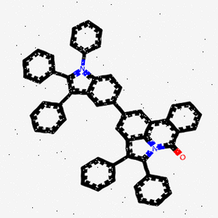 O=c1c2ccccc2c2cc(-c3ccc4c(c3)c(-c3ccccc3)c(-c3ccccc3)n4-c3ccccc3)cc3c(-c4ccccc4)c(-c4ccccc4)n1c32